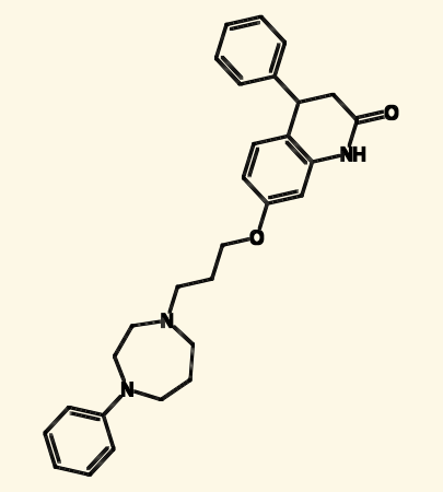 O=C1CC(c2ccccc2)c2ccc(OCCCN3CCCN(c4ccccc4)CC3)cc2N1